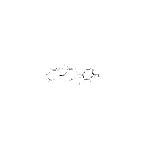 CN(CC(=C1NCCCS1)[N+](=O)[O-])Cc1ccc(Cl)nc1